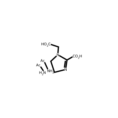 CC(N)=O.CC(N)=O.O=C(O)CN1CCN=C1C(=O)O